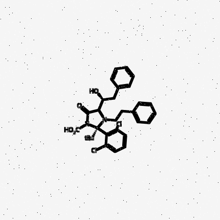 CC(C)(C)[C@]1(c2c(Cl)cccc2Cl)N(C(=O)O)C(=O)C([C@@H](O)Cc2ccccc2)N1CCc1ccccc1